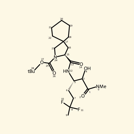 CNC(=O)C(O)[C@H](CCC(C)(F)F)NC(=O)[C@@H]1CC2(CCCCC2)CN1C(=O)OC(C)(C)C